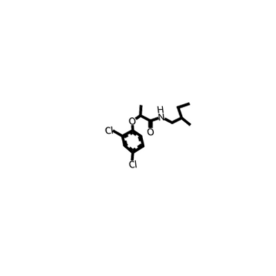 CCC(C)CNC(=O)C(C)Oc1ccc(Cl)cc1Cl